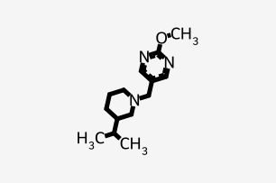 COc1ncc(CN2CCCC(C(C)C)C2)cn1